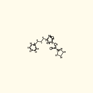 O=C(Oc1nc(CCCc2ccccc2)no1)N1CCCC1